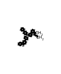 C=C/C=c1\c(=C)c2cccc3c4cc(N(c5ccc(-c6ccccc6)cc5)c5ccc(-c6ccc7sc8ccccc8c7c6)cc5)ccc4n1c23